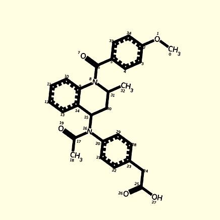 COc1ccc(C(=O)N2c3ccccc3C(N(C(C)=O)c3ccc(CC(=O)O)cc3)CC2C)cc1